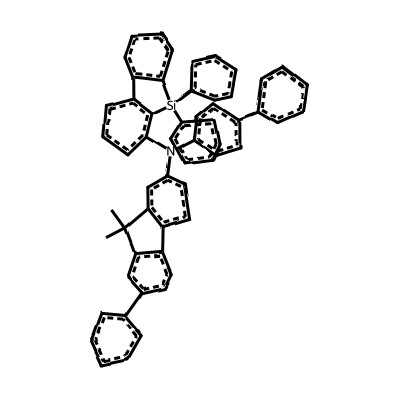 CC1(C)c2cc(-c3ccccc3)ccc2-c2ccc(N(c3ccc(-c4ccccc4)cc3)c3cccc4c3[Si](c3ccccc3)(c3ccccc3)c3ccccc3-4)cc21